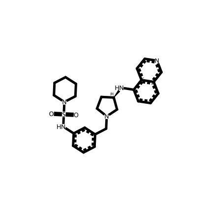 O=S(=O)(Nc1cccc(CN2CC[C@@H](Nc3cccc4cnccc34)C2)c1)N1CCCCC1